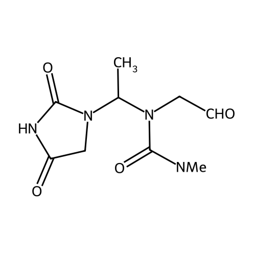 CNC(=O)N(CC=O)C(C)N1CC(=O)NC1=O